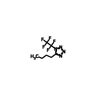 CCCCc1nnnn1C(F)(F)C(F)(F)F